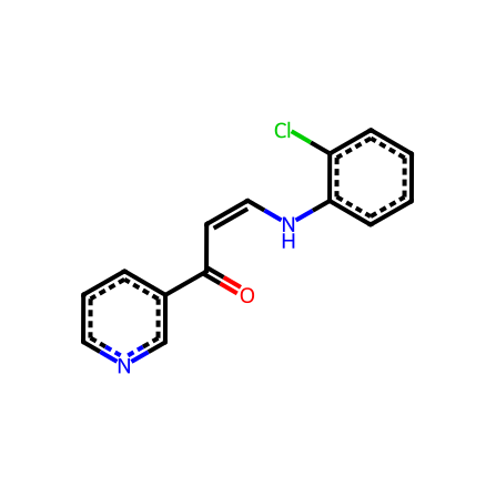 O=C(/C=C\Nc1ccccc1Cl)c1cccnc1